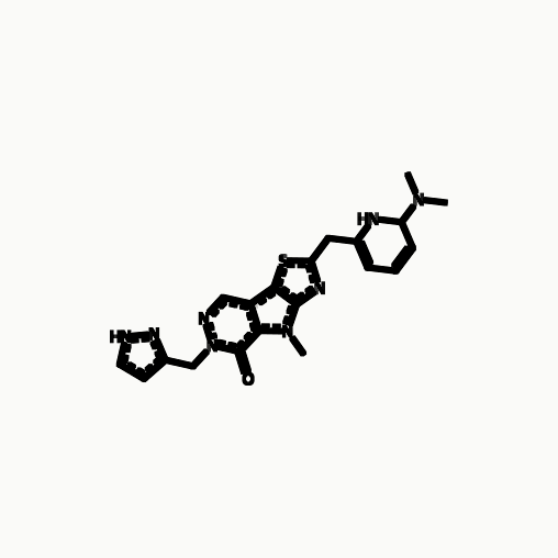 CN(C)C1C=CC=C(Cc2nc3c(s2)c2cnn(Cc4cc[nH]n4)c(=O)c2n3C)N1